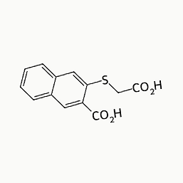 O=C(O)CSc1cc2ccccc2cc1C(=O)O